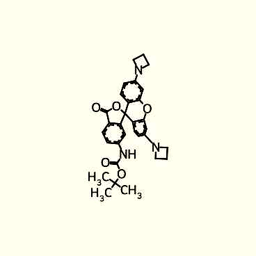 CC(C)(C)OC(=O)Nc1ccc2c(c1)C1(OC2=O)c2ccc(N3CCC3)cc2Oc2cc(N3CCC3)ccc21